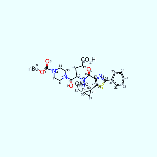 CCCCOC(=O)N1CCN(C(=O)C(CCC(=O)O)NC(=O)c2nc(-c3ccccc3)sc2[C@H]2C[C@@H]2COC)CC1